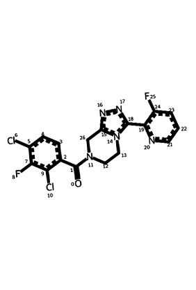 O=C(c1ccc(Cl)c(F)c1Cl)N1CCn2c(nnc2-c2ncccc2F)C1